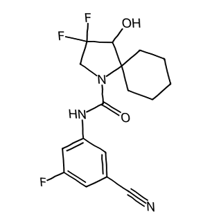 N#Cc1cc(F)cc(NC(=O)N2CC(F)(F)C(O)C23CCCCC3)c1